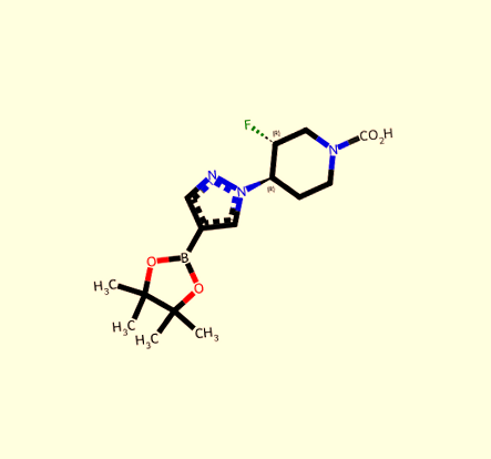 CC1(C)OB(c2cnn([C@@H]3CCN(C(=O)O)C[C@H]3F)c2)OC1(C)C